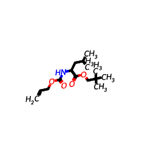 C=CCOC(=O)NC(CC(C)C)C(=O)OCC(C)(C)C